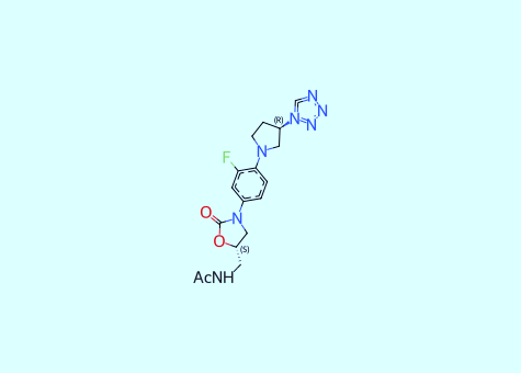 CC(=O)NC[C@H]1CN(c2ccc(N3CC[C@@H](n4cnnn4)C3)c(F)c2)C(=O)O1